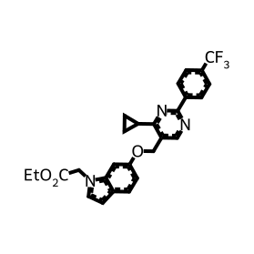 CCOC(=O)Cn1ccc2ccc(OCc3cnc(-c4ccc(C(F)(F)F)cc4)nc3C3CC3)cc21